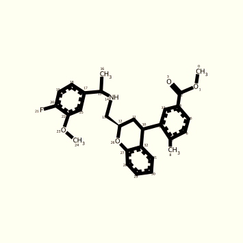 COC(=O)c1ccc(C)c(C2C[C@H](CNC(C)c3ccc(F)c(OC)c3)Oc3ccccc32)c1